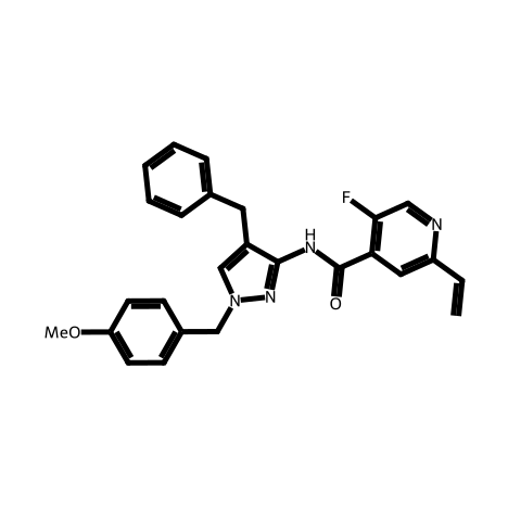 C=Cc1cc(C(=O)Nc2nn(Cc3ccc(OC)cc3)cc2Cc2ccccc2)c(F)cn1